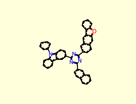 c1ccc(-n2c3ccccc3c3cc(-c4nc(-c5ccc6ccccc6c5)nc(-c5ccc6cc7oc8ccccc8c7cc6c5)n4)ccc32)cc1